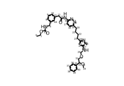 CCOC(=O)NCc1cccc(CC(=O)Nc2ccc(CCCCc3nnc(NCOCC(OC)c4ccccc4)s3)nn2)c1